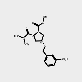 CN(C)C(=S)[C@@H]1C[C@@H](OCc2cccc(S(=O)(=O)O)c2)CN1C(=O)OC(C)(C)C